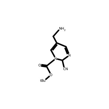 CC(C)(C)OC(=O)N1C=C(CN)C=NC1C#N